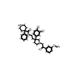 CC(C)Oc1cccc(C(=O)CN2CCC(CCNC(=O)C3(c4ccccc4)CCNCC3)(c3ccc(Cl)c(Cl)c3)C2)c1